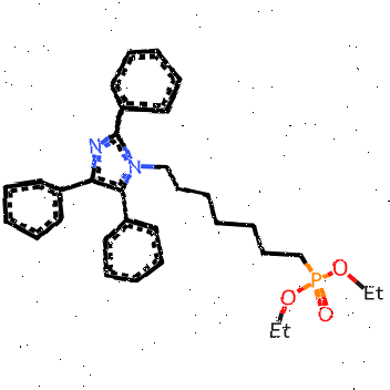 CCOP(=O)(CCCCCCCn1c(-c2ccccc2)nc(-c2ccccc2)c1-c1ccccc1)OCC